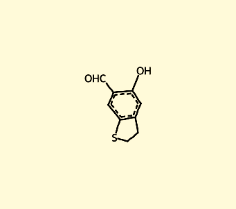 O=Cc1cc2c(cc1O)CCS2